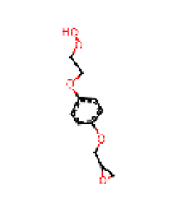 OOCCOc1ccc(OCC2CO2)cc1